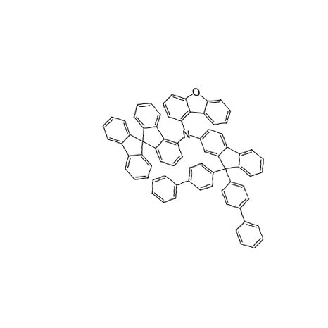 c1ccc(-c2ccc(C3(c4ccc(-c5ccccc5)cc4)c4ccccc4-c4ccc(N(c5cccc6c5-c5ccccc5C65c6ccccc6-c6ccccc65)c5cccc6oc7ccccc7c56)cc43)cc2)cc1